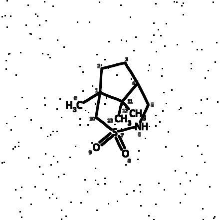 CC12CCC(CNS(=O)(=O)C1)C2(C)C